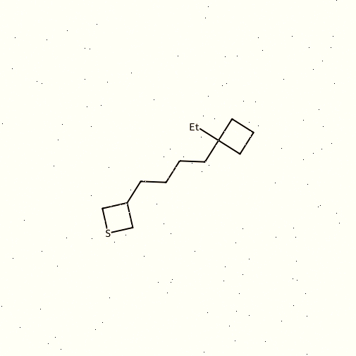 CCC1(CCCCC2CSC2)CCC1